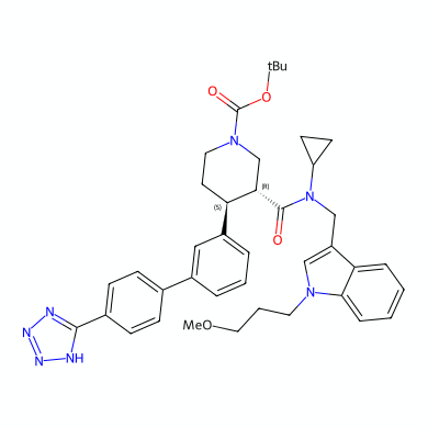 COCCCn1cc(CN(C(=O)[C@H]2CN(C(=O)OC(C)(C)C)CC[C@@H]2c2cccc(-c3ccc(-c4nnn[nH]4)cc3)c2)C2CC2)c2ccccc21